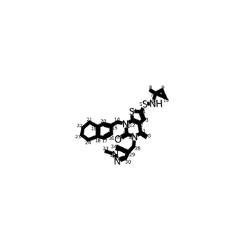 C=C1c2cc(SNC3(C)CC3)sc2N(Cc2ccc3c(c2)CCCC3)C(=O)N1Cc1cnn(C)c1